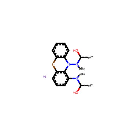 CCCCN(c1cccc2c1N(N(CCCC)C(O)CCC)c1ccccc1S2)C(O)CCC.I